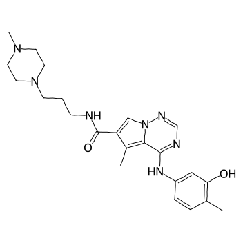 Cc1ccc(Nc2ncnn3cc(C(=O)NCCCN4CCN(C)CC4)c(C)c23)cc1O